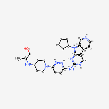 C[C@@H](CO)NC1CCN(c2ccc(Nc3ncc4c5ccncc5n(C5CCCC5)c4n3)nn2)CC1